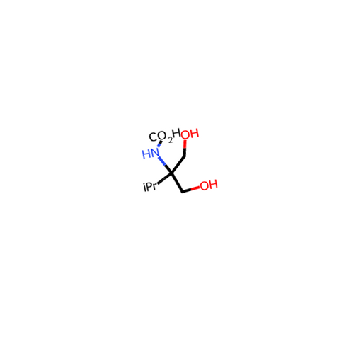 CC(C)C(CO)(CO)NC(=O)O